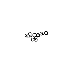 COC(=O)C1c2ccc(OCc3ccccc3)cc2CCN1CC(=O)OC(C)(C)C